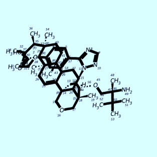 CCOc1ccc(-c2ncnn2[C@@H]2C[C@@]34COC[C@](C)([C@@H]3CC[C@H]3C4=CC[C@@]4(C)[C@H](C(=O)O)[C@@](C)([C@H](C)C(C)C)CC[C@]34C)[C@H]2OC[C@](C)(N)C(C)(C)C)cc1